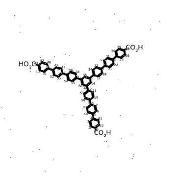 O=C(O)c1ccc(-c2ccc(-c3ccc(-c4cc(-c5ccc(-c6ccc(-c7ccc(C(=O)O)cc7)cc6)cc5)cc(-c5ccc(-c6ccc(-c7ccc(C(=O)O)cc7)cc6)cc5)c4)cc3)cc2)cc1